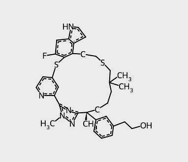 Cn1nc2nc1-c1cc(ccn1)Sc1c(F)cc3[nH]ccc3c1CCSCC(C)(C)CCC[C@]2(C)c1cccc(CCO)c1